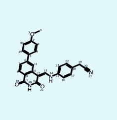 COc1ccc(-c2ccc3c(c2)C(=CNc2ccc(CC#N)cc2)C(=O)NC3=O)cc1